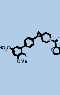 COc1cc(C(=O)O)cc(-c2ccc(C3CC34CCN(C(=O)C3CCCO3)CC4)cc2)c1Cl